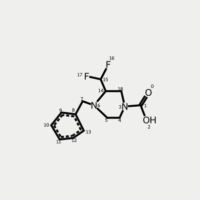 O=C(O)N1CCN(Cc2ccccc2)C(C(F)F)C1